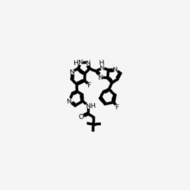 CC(C)(C)CC(=O)Nc1cncc(-c2cnc3[nH]nc(-c4nc5c(-c6cccc(F)c6)ccnc5[nH]4)c3c2F)c1